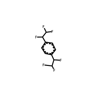 FC(F)C(F)c1ccc(C(F)C(F)F)cc1